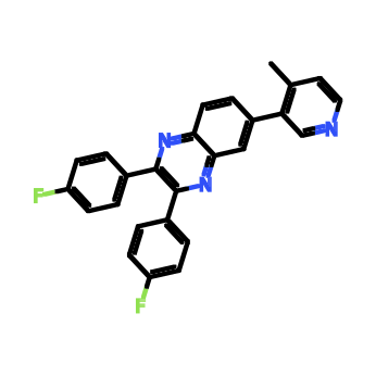 Cc1ccncc1-c1ccc2nc(-c3ccc(F)cc3)c(-c3ccc(F)cc3)nc2c1